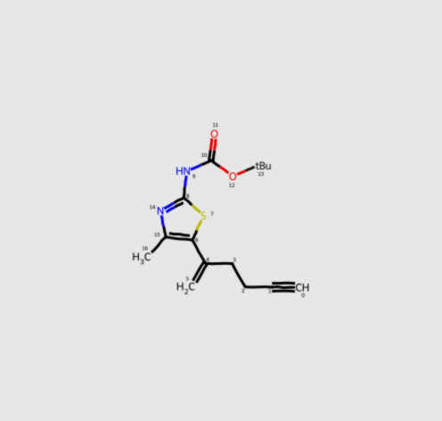 C#CCCC(=C)c1sc(NC(=O)OC(C)(C)C)nc1C